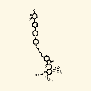 CCOc1cc([C@@H](CS(C)(=O)=O)N2C(=O)c3ccc(CCOCCN4CCC(N5CCC(c6ccc(C7CCC(=O)NC7=O)cc6)CC5)CC4)cc3C2=O)ccc1OC